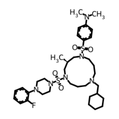 C[C@H]1CN(S(=O)(=O)c2ccc(N(C)C)cc2)CCCN(CC2CCCCC2)CCCN(S(=O)(=O)N2CCN(c3ccccc3F)CC2)C1